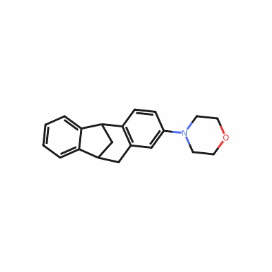 c1ccc2c(c1)C1Cc3cc(N4CCOCC4)ccc3C2C1